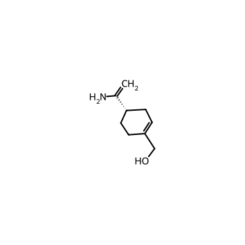 C=C(N)[C@@H]1CC=C(CO)CC1